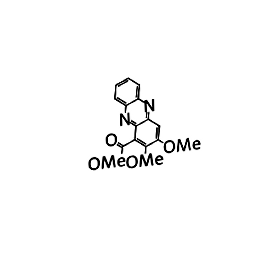 COC(=O)c1c(OC)c(OC)cc2nc3ccccc3nc12